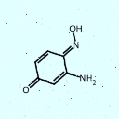 NC1=CC(=O)C=CC1=NO